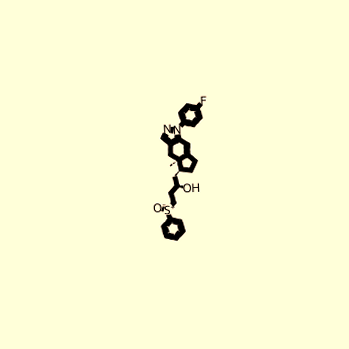 C[C@]12Cc3cnn(-c4ccc(F)cc4)c3C=C1CC[C@@H]2C[C@@H](O)CC[S+]([O-])c1ccccc1